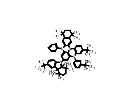 CC(C)(C)c1cccc(N2c3cc(C(C)(C)C)ccc3B3c4cc5c(cc4N(c4ccccc4)c4cc(N6c7ccc(C(C)(C)C)cc7C7(C)C(C)(C)CCC(C)(C)C67C)cc2c43)C(C)(C)CCC5(C)C)c1